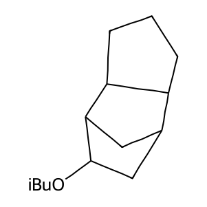 CC(C)COC1CC2CC1C1CCCC21